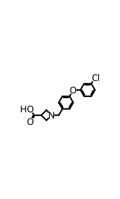 O=C(O)C1CN(Cc2ccc(Oc3cccc(Cl)c3)cc2)C1